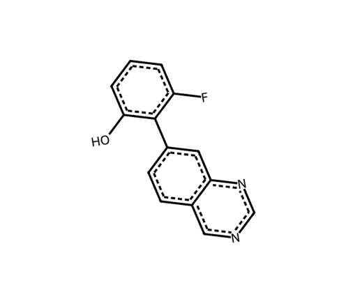 Oc1cccc(F)c1-c1ccc2cncnc2c1